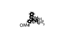 COc1ccc2c(c1)[C@@](C)(CCN(C)C)C(O)N2Cc1ccccc1